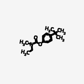 CCN(C)C(=O)Oc1ccc(C(C)(C)C)cc1